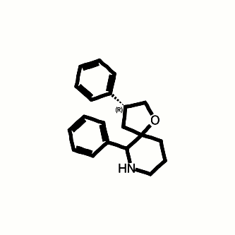 c1ccc(C2NCCCC23C[C@H](c2ccccc2)CO3)cc1